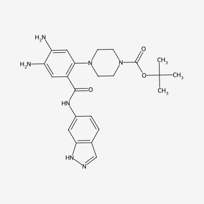 CC(C)(C)OC(=O)N1CCN(c2cc(N)c(N)cc2C(=O)Nc2ccc3cn[nH]c3c2)CC1